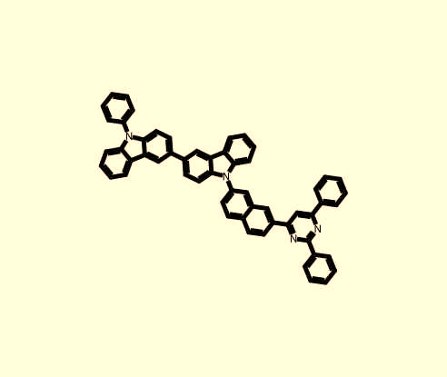 c1ccc(-c2cc(-c3ccc4ccc(-n5c6ccccc6c6cc(-c7ccc8c(c7)c7ccccc7n8-c7ccccc7)ccc65)cc4c3)nc(-c3ccccc3)n2)cc1